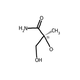 C[C@]([O])(CO)C(N)=O